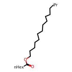 CCCCCCC(=O)OCCCCCCCCCCCCC(C)C